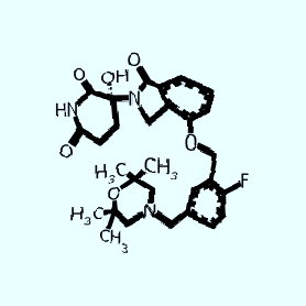 CC1(C)CN(Cc2ccc(F)c(COc3cccc4c3CN([C@@]3(O)CCC(=O)NC3=O)C4=O)c2)CC(C)(C)O1